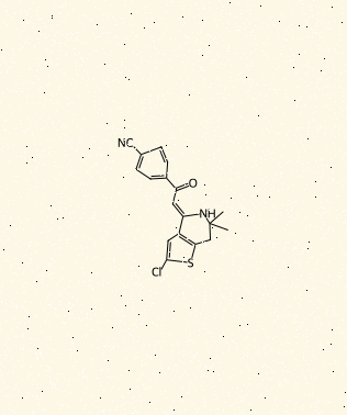 CC1(C)Cc2sc(Cl)cc2C(=CC(=O)c2ccc(C#N)cc2)N1